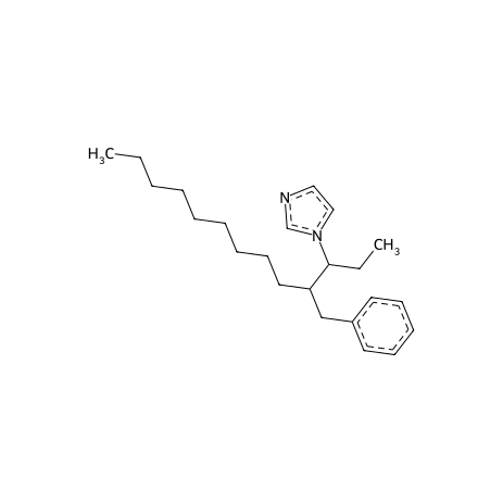 CCCCCCCCCC(Cc1ccccc1)C(CC)n1ccnc1